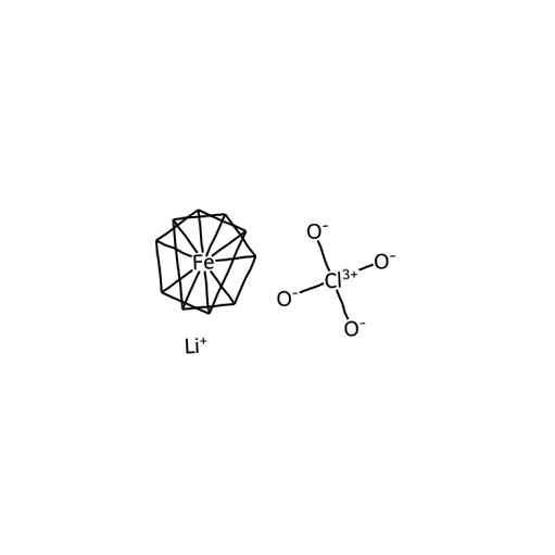 [CH]12[CH]3[CH]4[CH]5[CH]1[Fe]23451678[CH]2[CH]1[CH]6[CH]7[CH]28.[Li+].[O-][Cl+3]([O-])([O-])[O-]